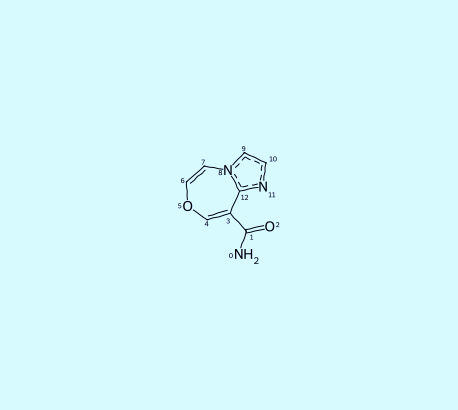 NC(=O)C1=COC=Cn2ccnc21